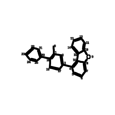 Cc1cc(-c2cccc3oc4ccccc4c23)ccc1-c1ccccc1